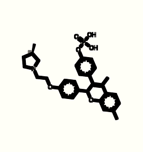 CC1=C(c2ccc(OP(=O)(O)O)cc2)C(c2ccc(OCCN3CC[C@@H](C)C3)cc2)Oc2cc(C)ccc21